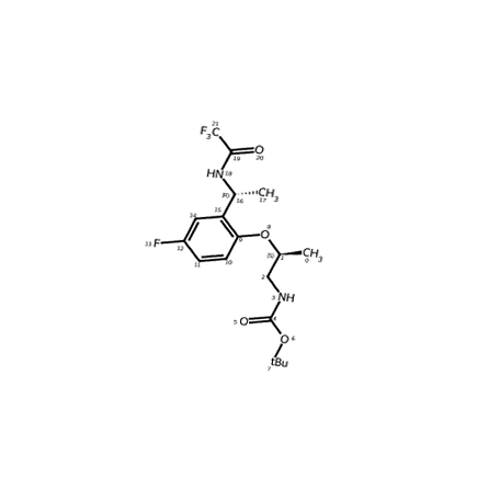 C[C@@H](CNC(=O)OC(C)(C)C)Oc1ccc(F)cc1[C@@H](C)NC(=O)C(F)(F)F